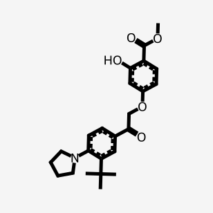 COC(=O)c1ccc(OCC(=O)c2ccc(N3CCCC3)c(C(C)(C)C)c2)cc1O